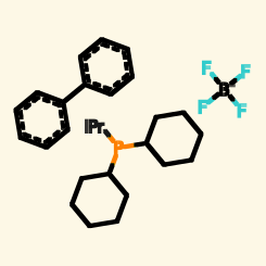 CC(C)P(C1CCCCC1)C1CCCCC1.F[B-](F)(F)F.c1ccc(-c2ccccc2)cc1